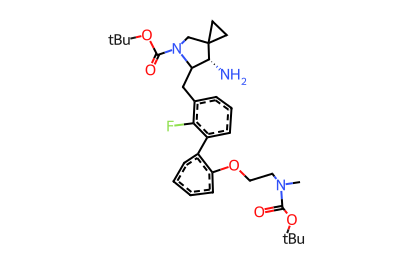 CN(CCOc1ccccc1-c1cccc(CC2[C@@H](N)C3(CC3)CN2C(=O)OC(C)(C)C)c1F)C(=O)OC(C)(C)C